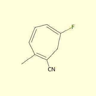 CC1=C(C#N)CC(F)=CC=C1